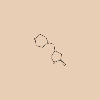 O=C1CC(CN2CCOCC2)CO1